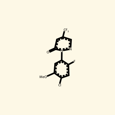 COc1cc(-n2ncc(C(F)(F)F)cc2=O)c(F)cc1Cl